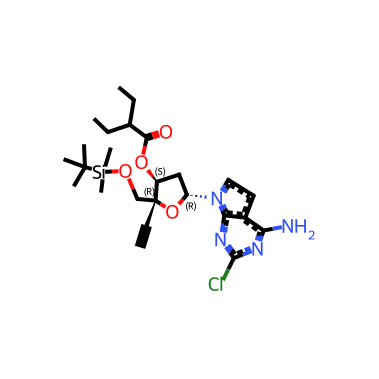 C#C[C@]1(CO[Si](C)(C)C(C)(C)C)O[C@@H](n2ccc3c(N)nc(Cl)nc32)C[C@@H]1OC(=O)C(CC)CC